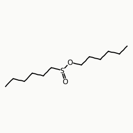 CCCCCCOS(=O)CCCCCC